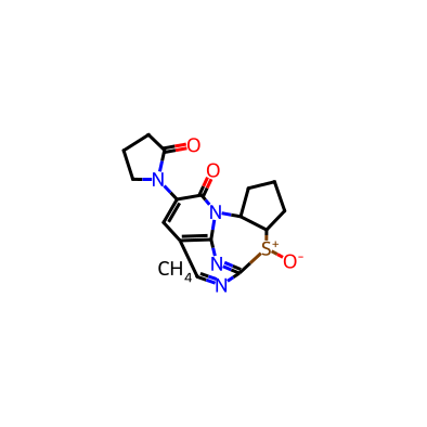 C.O=C1CCCN1c1cc2cnc3nc2n(c1=O)C1CCCC1[S+]3[O-]